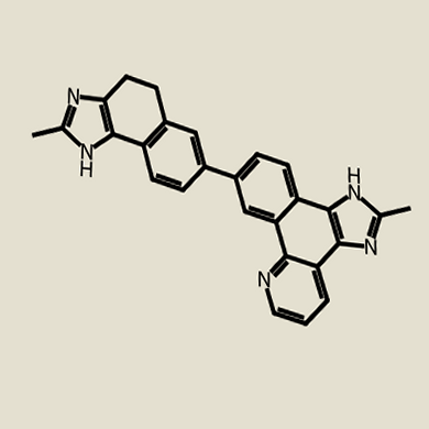 Cc1nc2c([nH]1)-c1ccc(-c3ccc4c(c3)c3ncccc3c3nc(C)[nH]c43)cc1CC2